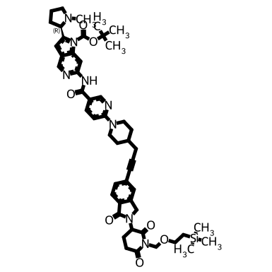 CN1CCC[C@@H]1c1cc2cnc(NC(=O)c3ccc(N4CCC(CC#Cc5ccc6c(c5)CN(C5CCC(=O)N(COCC[Si](C)(C)C)C5=O)C6=O)CC4)nc3)cc2n1C(=O)OC(C)(C)C